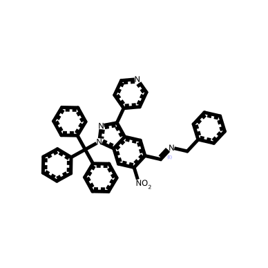 O=[N+]([O-])c1cc2c(cc1/C=N/Cc1ccccc1)c(-c1ccncc1)nn2C(c1ccccc1)(c1ccccc1)c1ccccc1